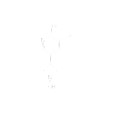 CC(C)c1cc(C2CN(C)C2)cnc1C(C)C